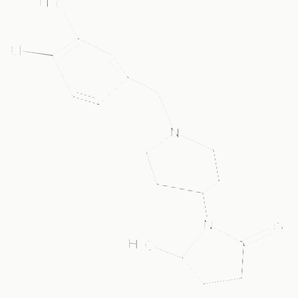 Cc1cc(CN2CCC(N3C(=O)CCC3C)CC2)ccc1Cl